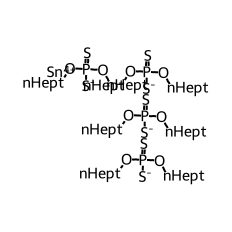 CCCCCCCOP(=S)([S-])OCCCCCCC.CCCCCCCOP(=S)([S-])OCCCCCCC.CCCCCCCOP(=S)([S-])OCCCCCCC.CCCCCCCOP(=S)([S-])OCCCCCCC.[Sn+4]